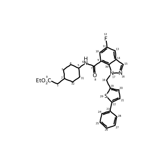 CCOC(=O)CC1CCC(NC(=O)c2cc(F)cc3cnn(Cc4ccc(-c5ccccc5)s4)c23)CC1